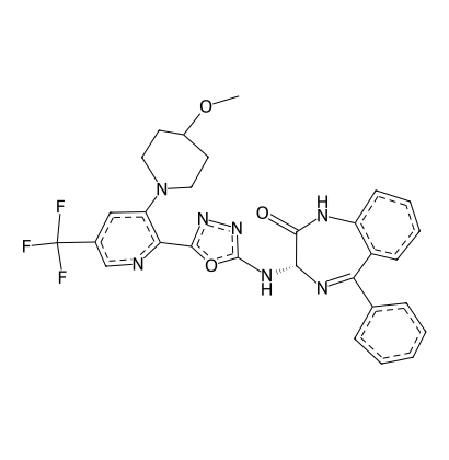 COC1CCN(c2cc(C(F)(F)F)cnc2-c2nnc(N[C@H]3N=C(c4ccccc4)c4ccccc4NC3=O)o2)CC1